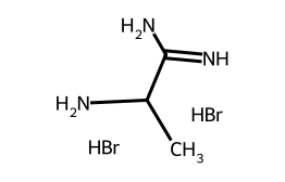 Br.Br.CC(N)C(=N)N